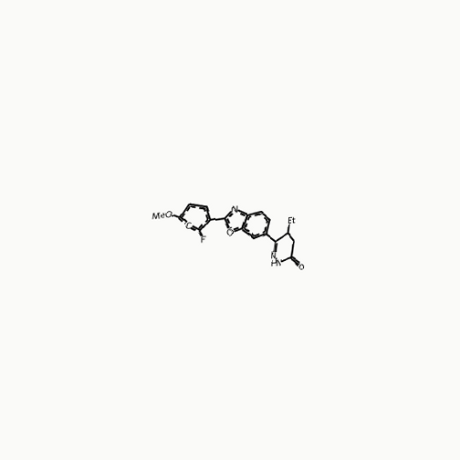 CCC1CC(=O)NN=C1c1ccc2nc(-c3ccc(OC)cc3F)oc2c1